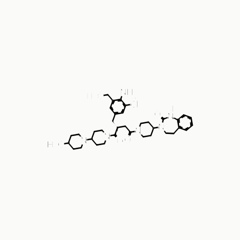 CCc1cc(C[C@@H](CC(=O)N2CCC(N3CCc4ccccc4NC3=O)CC2)C(=O)N2CCC(N3CCC(C)CC3)CC2)cc(Cl)c1N